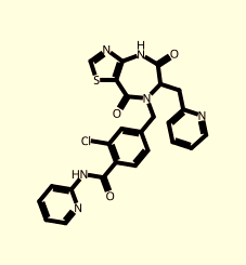 O=C(Nc1ccccn1)c1ccc(CN2C(=O)c3scnc3NC(=O)C2Cc2ccccn2)cc1Cl